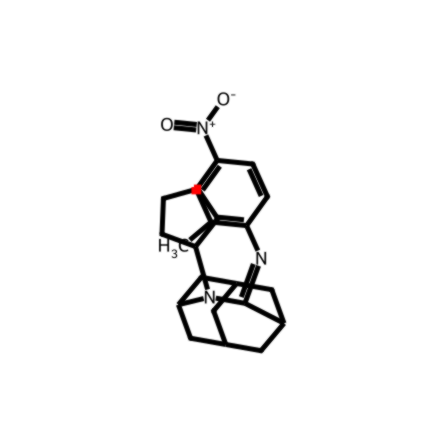 Cc1cc([N+](=O)[O-])ccc1/N=C1/C2CC3CC(C2)CC(C3)N1C1CCCC1